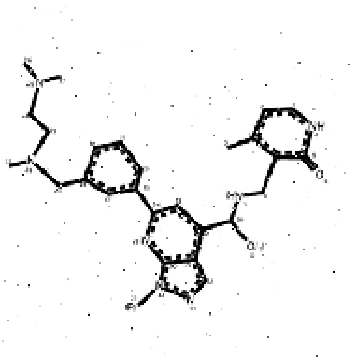 Cc1cc[nH]c(=O)c1CNC(O)c1cc(-c2cccc(CN(C)CCN(C)C)c2)nc2c1cnn2C(C)C